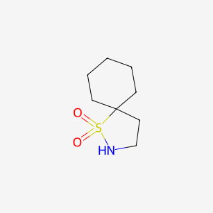 O=S1(=O)NCCC12CCCCC2